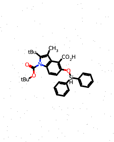 Cc1c(C(C)(C)C)n(C(=O)OC(C)(C)C)c2ccc(O[SiH](c3ccccc3)c3ccccc3)c(C(=O)O)c12